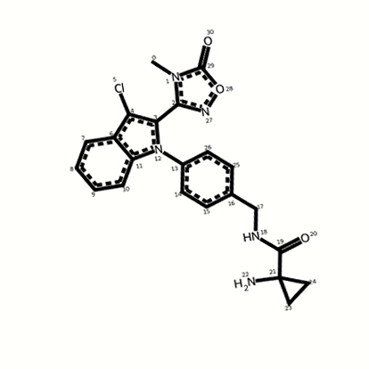 Cn1c(-c2c(Cl)c3ccccc3n2-c2ccc(CNC(=O)C3(N)CC3)cc2)noc1=O